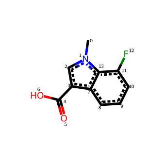 Cn1cc(C(=O)O)c2cccc(F)c21